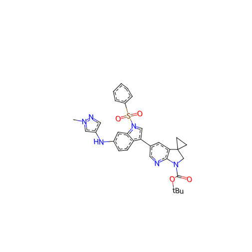 Cn1cc(Nc2ccc3c(-c4cnc5c(c4)C4(CC4)CN5C(=O)OC(C)(C)C)cn(S(=O)(=O)c4ccccc4)c3c2)cn1